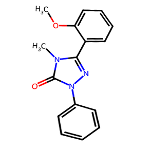 COc1ccccc1-c1nn(-c2ccccc2)c(=O)n1C